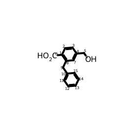 O=C(O)c1ccc(CO)cc1Cc1ccccc1